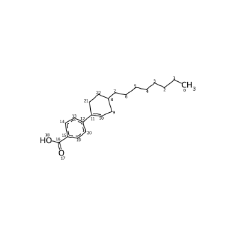 CCCCCCCCC1CC=C(c2ccc(C(=O)O)cc2)CC1